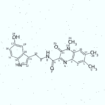 Cc1cc2nc(C(=O)NCCc3c[nH]c4ccc(O)cc34)c(=O)n(C)c2cc1C